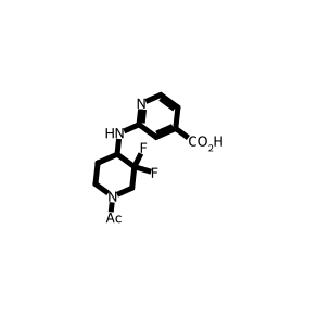 CC(=O)N1CCC(Nc2cc(C(=O)O)ccn2)C(F)(F)C1